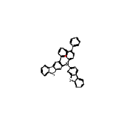 c1ccc(-c2ccc(N(c3ccc4c(c3)sc3ccccc34)c3cc4sc5ccccc5c4cc3-c3ccccc3)cc2)cc1